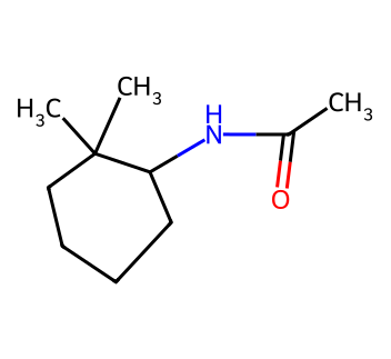 CC(=O)NC1CCCCC1(C)C